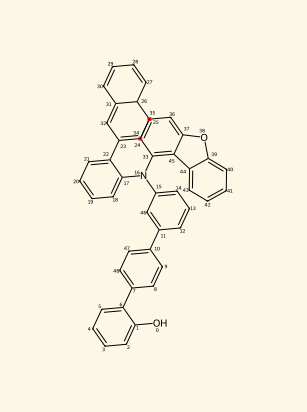 Oc1ccccc1-c1ccc(-c2cccc(N(c3ccccc3C3=CCC4C=CC=CC4=C3)c3cccc4oc5ccccc5c34)c2)cc1